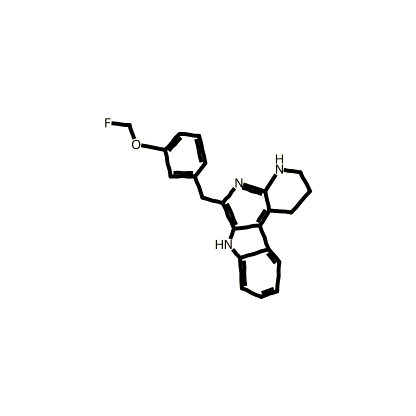 FCOc1cccc(Cc2nc3c(c4c2[nH]c2ccccc24)CCCN3)c1